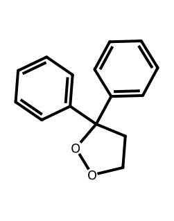 c1ccc(C2(c3ccccc3)CCOO2)cc1